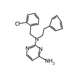 Nc1ccnc(N(CCc2ccccc2)Cc2ccccc2Cl)n1